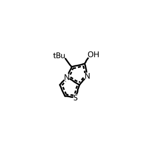 CC(C)(C)c1c(O)nc2sccn12